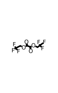 O=C(OCC(F)(F)F)C(=O)OCC(F)(F)F